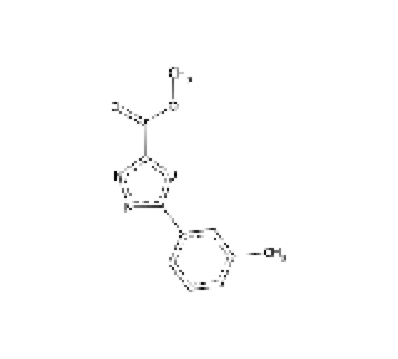 COC(=O)c1nnc(-c2cccc(C)c2)o1